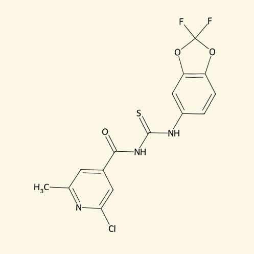 Cc1cc(C(=O)NC(=S)Nc2ccc3c(c2)OC(F)(F)O3)cc(Cl)n1